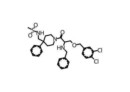 CS(=O)(=O)NCC1(c2ccccc2)CCN(C(=O)C(COCc2ccc(Cl)c(Cl)c2)NCc2ccccc2)CC1